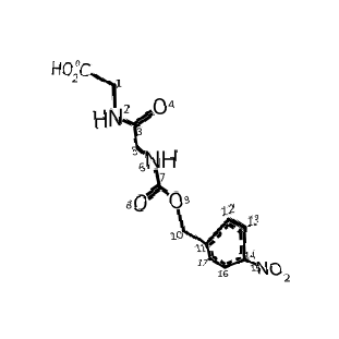 O=C(O)CNC(=O)CNC(=O)OCc1ccc([N+](=O)[O-])cc1